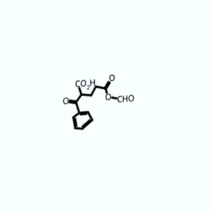 O=COC(=O)CCC(C(=O)O)C(=O)c1ccccc1